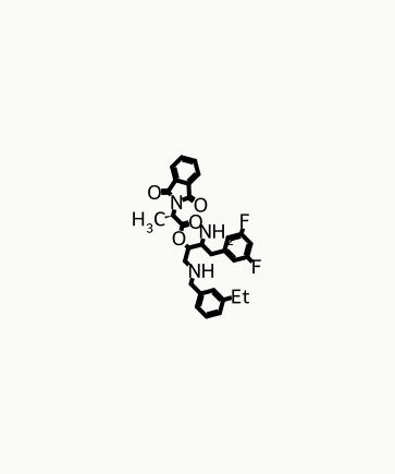 CCc1cccc(CNCC(OC(=O)[C@H](C)N2C(=O)c3ccccc3C2=O)C(N)Cc2cc(F)cc(F)c2)c1